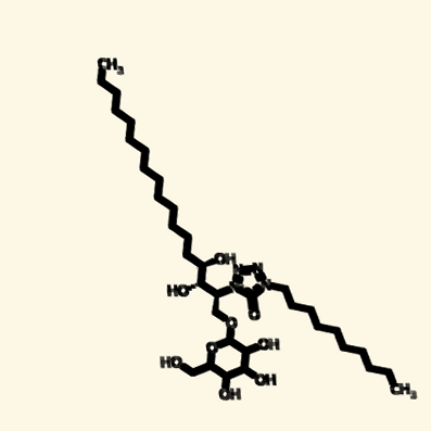 CCCCCCCCCCCCCC[C@@H](O)[C@@H](O)[C@H](COC1OC(CO)C(O)C(O)C1O)n1nnn(CCCCCCCCCC)c1=O